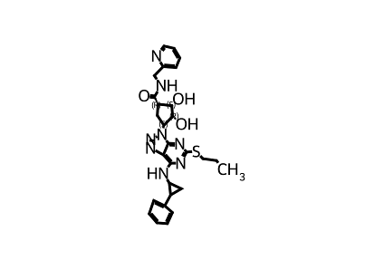 CCCSc1nc(NC2CC2c2ccccc2)c2nnn([C@H]3C[C@@H](C(=O)NCc4ccccn4)[C@H](O)[C@@H]3O)c2n1